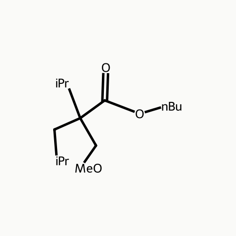 CCCCOC(=O)C(COC)(CC(C)C)C(C)C